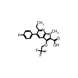 CCc1nc2c(cc1-c1ccc(F)cc1)c(OCC(F)(F)F)c(C(=O)O)n2C